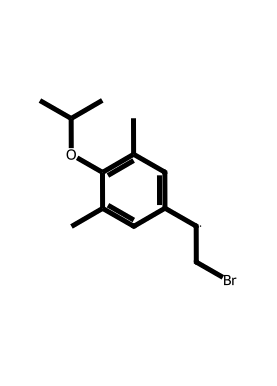 Cc1cc([CH]CBr)cc(C)c1OC(C)C